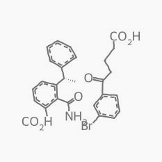 C[C@@H](c1ccccc1)c1cccc(C(=O)O)c1C(N)=O.O=C(O)CCCC(=O)c1cccc(Br)c1